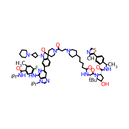 Cc1cc(F)c(Nc2nc(-c3ccc4c(c3)N([C@H]3C[C@@H](N5CCCCC5)C3)C(=O)C43CCN(C(=O)CCN4CCC(CCCCC(=O)N[C@H](C(=O)N5C[C@H](O)C[C@H]5C(=O)N[C@@H](C)c5ccc(-c6scnc6C)cc5)C(C)(C)C)CC4)CC3)cc3ncn(C(C)C)c23)cc1C(=O)NC(C)C